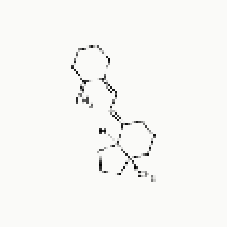 C=C1CCCCC1=CC=C1CCC[C@]2(C)CCC[C@@H]12